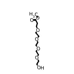 COC(=O)CCOCCOCCOCCOCCO